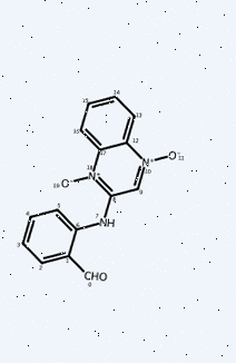 O=Cc1ccccc1Nc1c[n+]([O-])c2ccccc2[n+]1[O-]